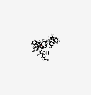 CC(C)C=CC(O)C(C)CCC[C@]1(C)OCC(=CCO[Si](c2ccccc2)(c2ccccc2)C(C)(C)C)CC[C@H]1O[Si](c1ccccc1)(c1ccccc1)C(C)(C)C